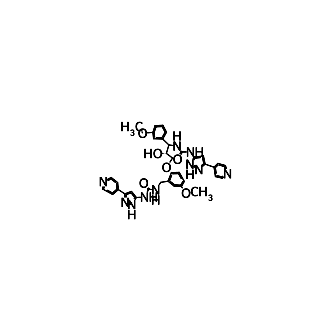 COc1cccc(C(NC(=O)Nc2cc(-c3ccncc3)n[nH]2)[C@@H](O)COc2ccc(OC)cc2CNC(=O)Nc2cc(-c3ccncc3)n[nH]2)c1